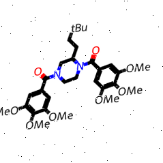 COc1cc(C(=O)N2CCN(C(=O)c3cc(OC)c(OC)c(OC)c3)C(CCC(C)(C)C)C2)cc(OC)c1OC